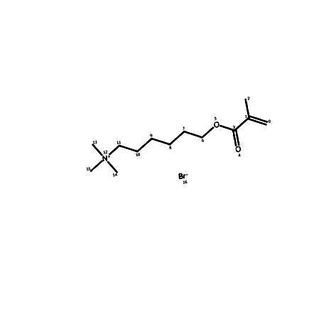 C=C(C)C(=O)OCCCCCC[N+](C)(C)C.[Br-]